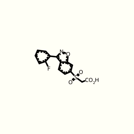 O=C(O)CS(=O)(=O)c1ccc2c(-c3ccccc3F)noc2c1